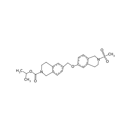 CC(C)OC(=O)N1CCc2cc(COc3ccc4c(c3)CCN(S(C)(=O)=O)C4)ccc2C1